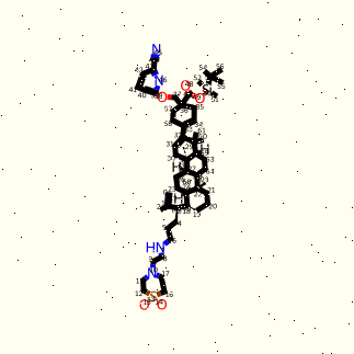 C=C(C)[C@H](CCCNCCN1CCS(=O)(=O)CC1)[C@H]1CCC[C@]2(C)[C@@H]1CC[C@@H]1[C@@]3(C)CC=C(C4=CCC(COc5cccc(C#N)n5)(C(=O)O[Si](C)(C)C(C)(C)C)CC4)C(C)(C)[C@@H]3CC[C@]12C